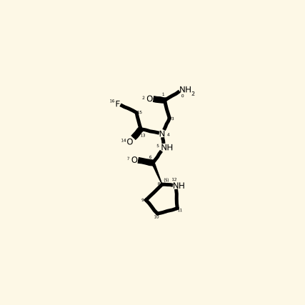 NC(=O)CN(NC(=O)[C@@H]1CCCN1)C(=O)CF